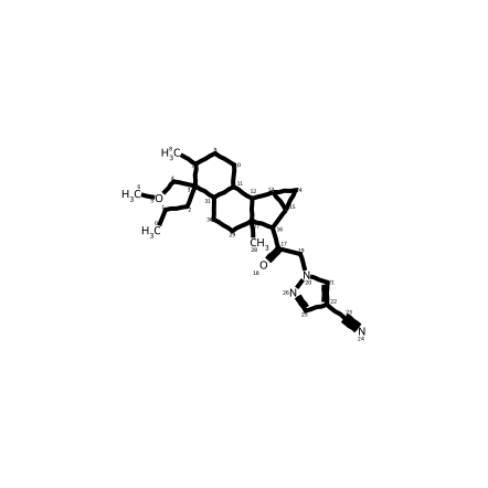 CCCC1(COC)C(C)CCC2C3C4CC4C(C(=O)Cn4cc(C#N)cn4)C3(C)CCC21